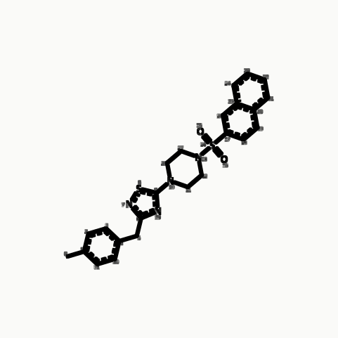 Cc1ccc(Cc2nsc(N3CCN(S(=O)(=O)c4ccc5ccccc5c4)CC3)n2)cc1